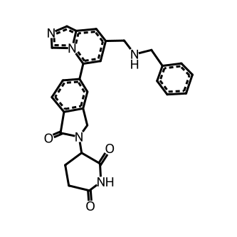 O=C1CCC(N2Cc3cc(-c4cc(CNCc5ccccc5)cc5cncn45)ccc3C2=O)C(=O)N1